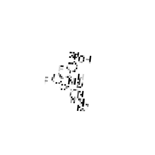 CP(=O)(O)c1ccc([C@H](NC(=O)c2cnc(-n3cccn3)nc2O)c2ccc(F)cc2F)cc1